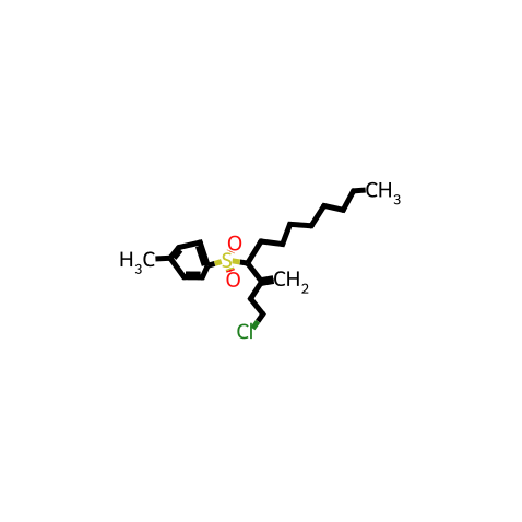 C=C(CCCl)C(CCCCCCCC)S(=O)(=O)c1ccc(C)cc1